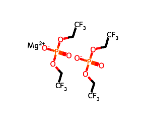 O=P([O-])(OCC(F)(F)F)OCC(F)(F)F.O=P([O-])(OCC(F)(F)F)OCC(F)(F)F.[Mg+2]